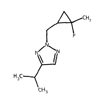 CC(C)c1cnn(CC2CC2(C)F)n1